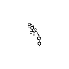 COc1ccc2c(c1)C(=O)NC(CCCN1CC=C(c3ccc(F)cc3)CC1)O2